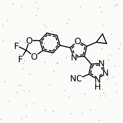 N#Cc1[nH]nnc1-c1nc(-c2ccc3c(c2)OC(F)(F)O3)oc1C1CC1